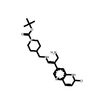 CC(C)(C)OC(=O)N1CCC(CN/C=C(\CN)c2cnc3c(c2)NC(Cl)C=C3)CC1